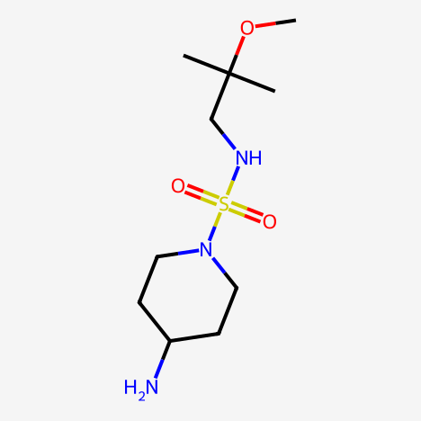 COC(C)(C)CNS(=O)(=O)N1CCC(N)CC1